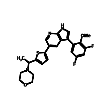 COc1c(F)cc(F)cc1-c1c[nH]c2ncc(-c3ccc(C(C)N4CCOCC4)s3)cc12